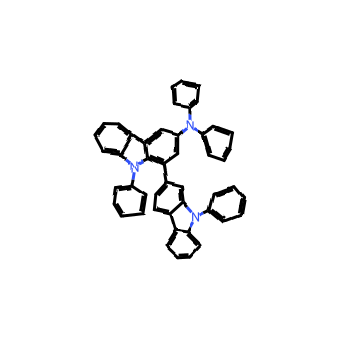 c1ccc(N(c2ccccc2)c2cc(-c3ccc4c5ccccc5n(-c5ccccc5)c4c3)c3c(c2)c2ccccc2n3-c2ccccc2)cc1